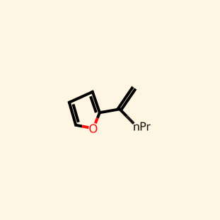 C=C(CCC)c1ccco1